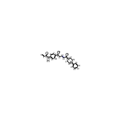 C=CC(=O)Nc1ccc(C(=O)C/C=C/C(=O)N2CCN(c3ccccc3)CC2)cc1